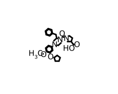 COc1ccc(N2CCN(C(=O)N3CCC(C(=O)O)C3)C(Cc3ccccc3)C2)cc1OC1CCCC1